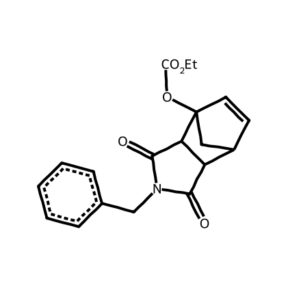 CCOC(=O)OC12C=CC(C1)C1C(=O)N(Cc3ccccc3)C(=O)C12